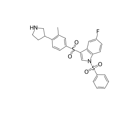 Cc1cc(S(=O)(=O)c2cn(S(=O)(=O)c3ccccc3)c3ccc(F)cc23)ccc1C1CCNC1